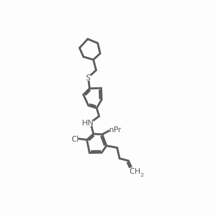 C=CCCc1ccc(Cl)c(NCc2ccc(SCC3CCCCC3)cc2)c1CCC